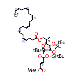 CC/C=C\C/C=C\C/C=C\C/C=C\C/C=C\C/C=C\CCC(=O)OC[C@@H](C)[C@@H](O[Si](C)(C)C(C)(C)C)[C@H](O[Si](C)(C)C(C)(C)C)[C@@H](COC(=O)/C=C/C(=O)OC)O[Si](C)(C)C(C)(C)C